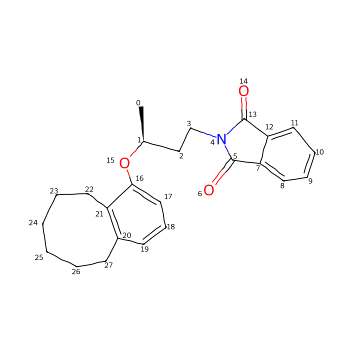 C[C@@H](CCN1C(=O)c2ccccc2C1=O)Oc1cccc2c1CCCCCC2